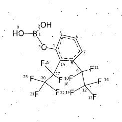 OB(O)Oc1cccc(C(F)(F)C(F)(F)F)c1C(F)(F)C(F)(F)F